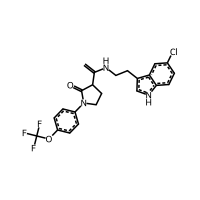 C=C(NCCc1c[nH]c2ccc(Cl)cc12)C1CCN(c2ccc(OC(F)(F)F)cc2)C1=O